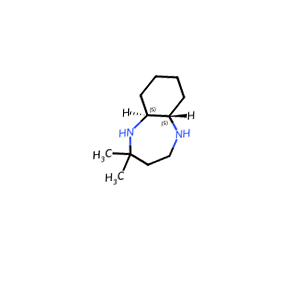 CC1(C)CCN[C@H]2CCCC[C@@H]2N1